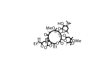 CCNC(=O)CN1C(=O)O[C@]2(C)[C@@H](CC)OC(=O)[C@H](C)[C@@H](O[C@H]3C[C@@](C)(OC)[C@@]4(CO4)[C@H](C)O3)[C@H](C)[C@@H](O[C@@H]3O[C@H](C)C[C@H](N(C)C)[C@H]3O)[C@@](C)(OC)C[C@@H](C)C(=O)[C@H](C)[C@@H]12